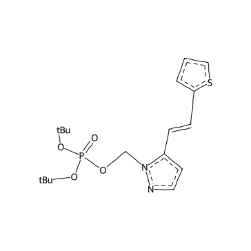 CC(C)(C)OP(=O)(OCn1nccc1C=Cc1cccs1)OC(C)(C)C